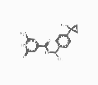 Cc1nc(C(=O)N[C@H](C)c2ccc(C3(C)CC3)cc2)cc(=O)[nH]1